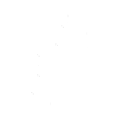 CCO/N=C(\c1ccc(F)c(F)c1)c1ccc(CN2CC3(C2)CN(c2cncc(C(F)F)c2)C3)cn1